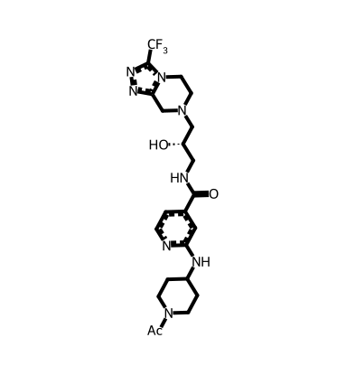 CC(=O)N1CCC(Nc2cc(C(=O)NC[C@H](O)CN3CCn4c(nnc4C(F)(F)F)C3)ccn2)CC1